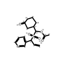 C=CC(c1cccnc1)S(=O)(=O)C(OC(C)=O)C1CCCC(=O)C1